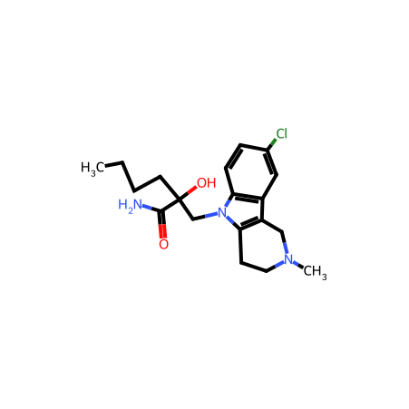 CCCCC(O)(Cn1c2c(c3cc(Cl)ccc31)CN(C)CC2)C(N)=O